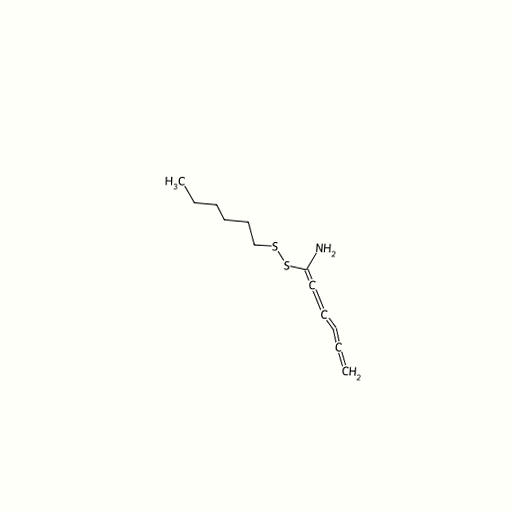 C=C=C=C=C=C(N)SSCCCCCC